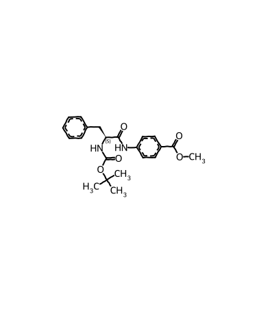 COC(=O)c1ccc(NC(=O)[C@H](Cc2ccccc2)NC(=O)OC(C)(C)C)cc1